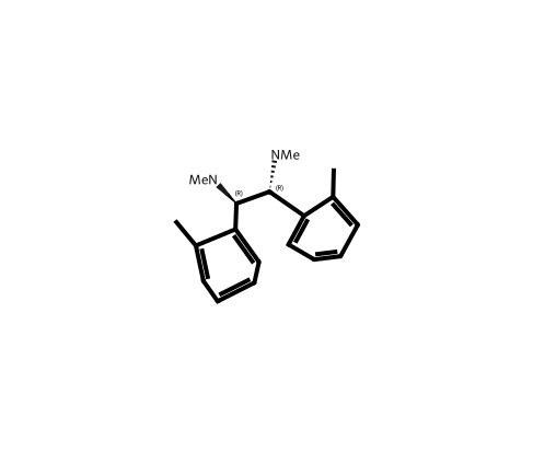 CN[C@H](c1ccccc1C)[C@H](NC)c1ccccc1C